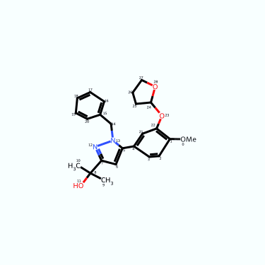 COc1ccc(-c2cc(C(C)(C)O)nn2Cc2ccccc2)cc1OC1CCCO1